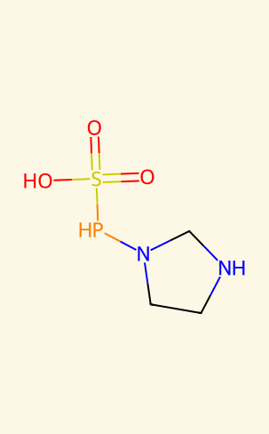 O=S(=O)(O)PN1CCNC1